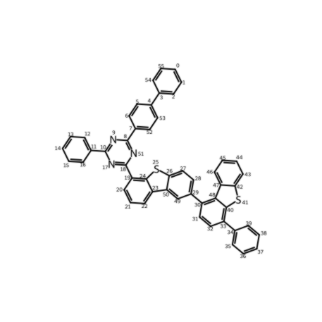 c1ccc(-c2ccc(-c3nc(-c4ccccc4)nc(-c4cccc5c4sc4ccc(-c6ccc(-c7ccccc7)c7sc8ccccc8c67)cc45)n3)cc2)cc1